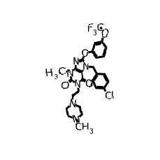 CN1CCN(CCn2c(=O)c3c(nc(Oc4cccc(OC(F)(F)F)c4)n3Cc3ccc(Cl)cc3)n(C)c2=O)CC1